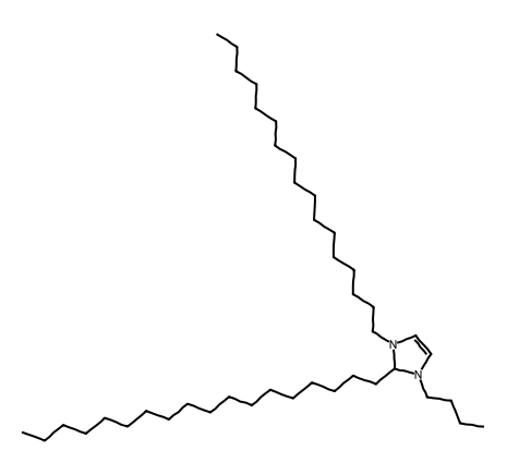 CCCCCCCCCCCCCCCCCCC1N(CCCC)C=CN1CCCCCCCCCCCCCCCCC